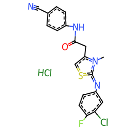 Cl.Cn1c(CC(=O)Nc2ccc(C#N)cc2)csc1=Nc1ccc(F)c(Cl)c1